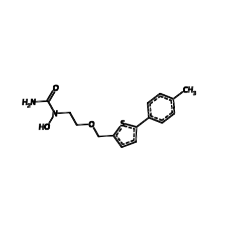 Cc1ccc(-c2ccc(COCCN(O)C(N)=O)s2)cc1